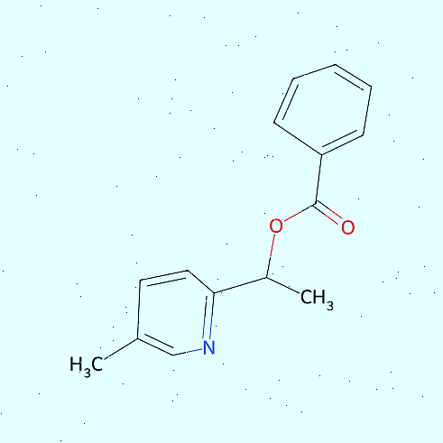 Cc1ccc(C(C)OC(=O)c2ccccc2)nc1